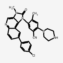 Cc1cc(N2CCNCC2)c(C#N)cc1-n1c(=O)n(C)c2cnc3ccc(-c4ccc(Cl)cc4)cc3c21